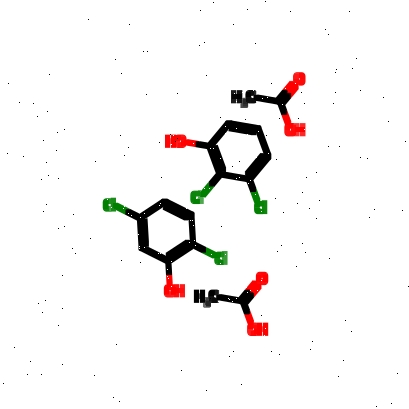 CC(=O)O.CC(=O)O.Oc1cc(Cl)ccc1Cl.Oc1cccc(Cl)c1Cl